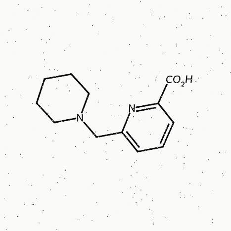 O=C(O)c1cccc(CN2CCCCC2)n1